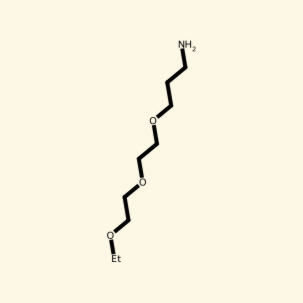 CCOCCOCCOCCCN